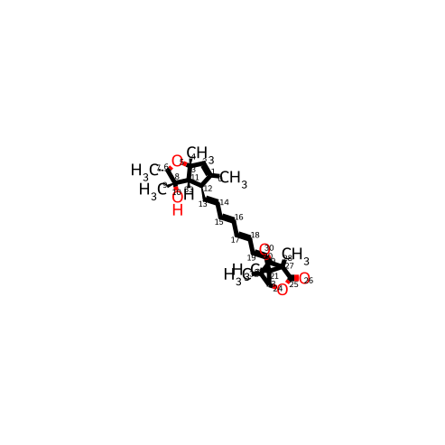 CC1=C[C@@]2(C)O[C@@H](C)[C@@](C)(O)[C@H]2[C@@H]1/C=C/C=C/C=C/C=C/C1(C)C2OC(=O)C1(C)C(=O)C2C